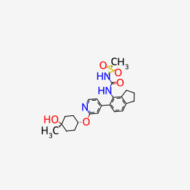 CS(=O)(=O)NC(=O)Nc1c(-c2ccnc(O[C@H]3CC[C@@](C)(O)CC3)c2)ccc2c1CCC2